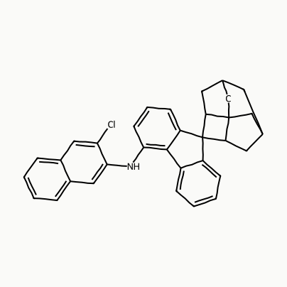 Clc1cc2ccccc2cc1Nc1cccc2c1-c1ccccc1C21C2CC3CC4CC1C2(C3)C4